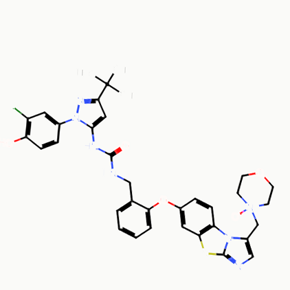 CC(C)(C)c1cc(NC(=O)NCc2ccccc2Oc2ccc3c(c2)sc2ncc(C[N+]4([O-])CCOCC4)n23)n(-c2ccc(O)c(Cl)c2)n1